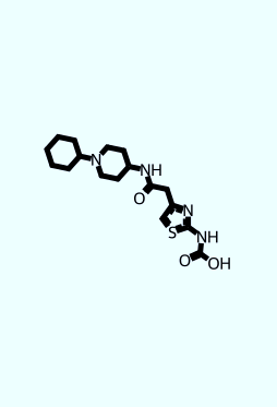 O=C(O)Nc1nc(CC(=O)NC2CCN(C3CCCCC3)CC2)cs1